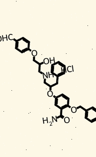 Cl.NC(=O)c1cc(OC(CNCC(O)COc2ccc(C=O)cc2)Cc2ccccc2)ccc1OCc1ccccc1